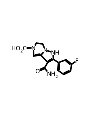 NC(=O)C1=C(c2cccc(F)c2)NN2CCN(C(=O)O)C=C12